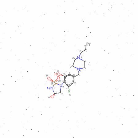 CC(C)CCN1CCN(Cc2cc(O)c(N3CC(=O)NS3(=O)=O)c(F)c2)CC1